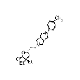 CCC1(CC)C[C@@H](CCN2CC3CN(c4ccc(C)cc4)CC3C2)OC1=O